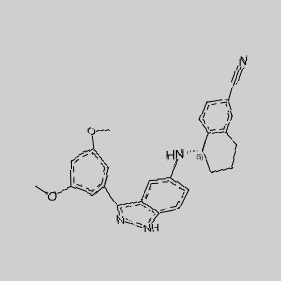 COc1cc(OC)cc(-c2n[nH]c3ccc(N[C@H]4CCCc5cc(C#N)ccc54)cc23)c1